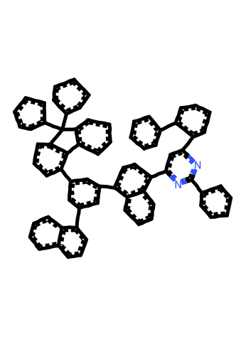 c1ccc(-c2nc(-c3ccccc3-c3ccccc3)cc(-c3ccc(-c4cc(-c5cccc6c5-c5ccccc5C6(c5ccccc5)c5ccccc5)cc(-c5cccc6ccccc56)c4)c4ccccc34)n2)cc1